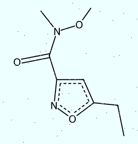 CCc1cc(C(=O)N(C)OC)no1